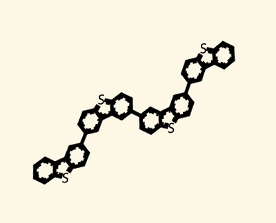 c1ccc2c(c1)sc1ccc(-c3ccc4sc5ccc(-c6ccc7sc8ccc(-c9ccc%10sc%11ccccc%11c%10c9)cc8c7c6)cc5c4c3)cc12